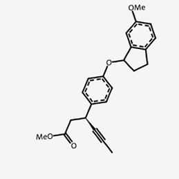 CC#C[C@@H](CC(=O)OC)c1ccc(OC2CCc3ccc(OC)cc32)cc1